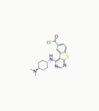 CN(C)[C@H]1CC[C@H](Nc2ncnc3sc4ccc(C(=O)Cl)cc4c23)CC1